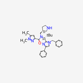 Cc1cc(C(=O)N(C[C@H]2CCNC2)[C@@H](c2nc(-c3ccccc3)cn2Cc2ccccc2)C(C)(C)C)nn1C